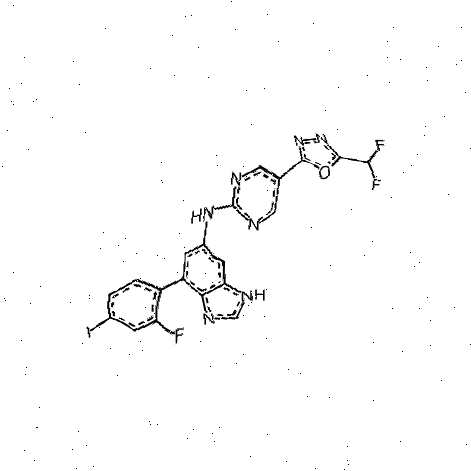 Fc1cc(I)ccc1-c1cc(Nc2ncc(-c3nnc(C(F)F)o3)cn2)cc2[nH]cnc12